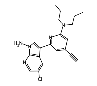 C#Cc1cc(-c2cn(N)c3ncc(Cl)cc23)nc(N(CCC)CCC)c1